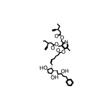 C#CC(CC)CC(=O)OCc1ncc(C)c(OC(=O)CCC/C=C\C[C@@H]2[C@@H](CC[C@@H](O)CCc3ccccc3)[C@H](O)C[C@@H]2O)c1COC(=O)CC(C#C)CC